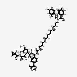 Cc1ncsc1-c1ccc([C@H](CC(=O)NCCCCCCCCCNCCCONC(=O)c2ccc(F)c(F)c2Nc2ccc(I)cc2F)NC(=O)[C@@H]2C[C@@H](O)CN2C(=O)C(NC(=O)C2(F)CC2)C(C)(C)C)cc1